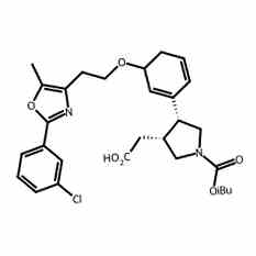 Cc1oc(-c2cccc(Cl)c2)nc1CCOC1C=C([C@@H]2CN(C(=O)OCC(C)C)C[C@@H]2CC(=O)O)C=CC1